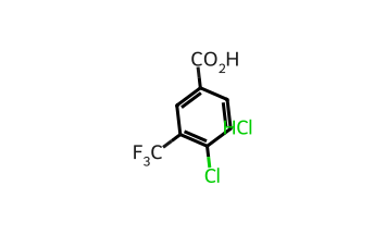 Cl.O=C(O)c1ccc(Cl)c(C(F)(F)F)c1